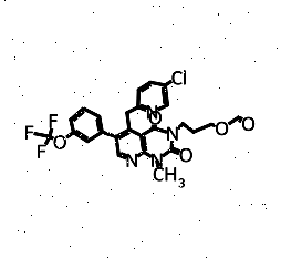 Cn1c(=O)n(CCCOC=O)c(=O)c2c(Cc3ccc(Cl)cn3)c(-c3cccc(OC(F)(F)F)c3)cnc21